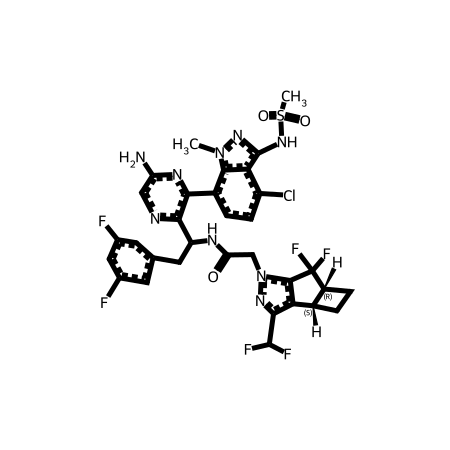 Cn1nc(NS(C)(=O)=O)c2c(Cl)ccc(-c3nc(N)cnc3C(Cc3cc(F)cc(F)c3)NC(=O)Cn3nc(C(F)F)c4c3C(F)(F)[C@@H]3CC[C@H]43)c21